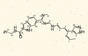 C\C=C/C(=C\C=C\N/C=N/C(=N\C)c1ccc2cc(C(=O)NCC(C)C)[nH]c2c1)c1cn[nH]c1